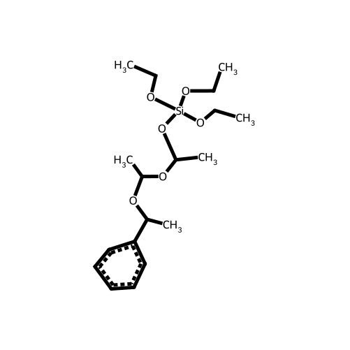 CCO[Si](OCC)(OCC)OC(C)OC(C)OC(C)c1ccccc1